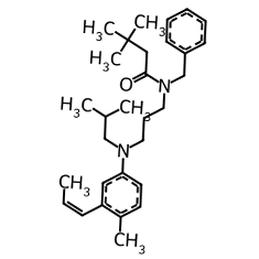 C/C=C\c1cc(N(CCCN(Cc2ccccc2)C(=O)CC(C)(C)C)CC(C)C)ccc1C